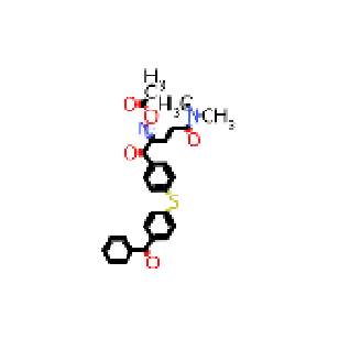 CC(=O)O/N=C(\CCC(=O)N(C)C)C(=O)c1ccc(Sc2ccc(C(=O)c3ccccc3)cc2)cc1